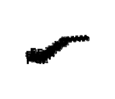 CCCCCCCCCCC1CCC(C2CCC(c3ccc(-c4cc(F)c(C(F)(F)Oc5cc(F)c(F)c(F)c5)c(F)c4)c(F)c3)CC2)CC1